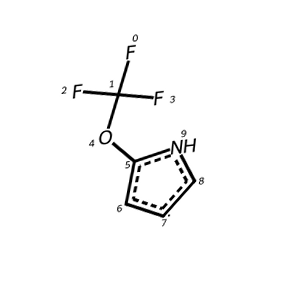 FC(F)(F)Oc1c[c]c[nH]1